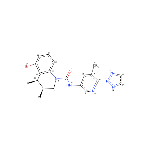 C[C@@H]1CN(C(=O)Nc2cnc(-n3nccn3)c(C(F)(F)F)c2)c2cccc(Br)c2[C@@H]1C